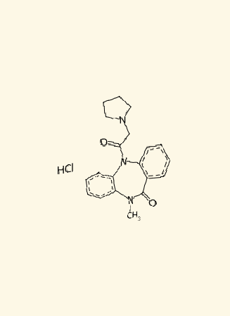 CN1C(=O)c2ccccc2N(C(=O)CN2CCCC2)c2ccccc21.Cl